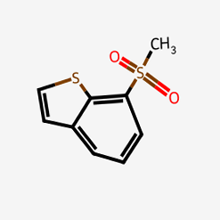 CS(=O)(=O)c1cccc2ccsc12